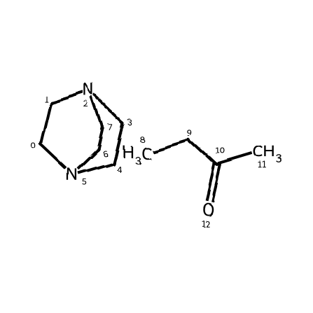 C1CN2CCN1CC2.CCC(C)=O